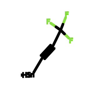 FC(F)(F)C#[C][SnH]